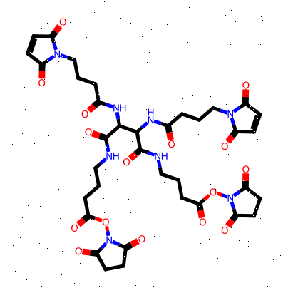 O=C(CCCN1C(=O)C=CC1=O)NC(C(=O)NCCCC(=O)ON1C(=O)CCC1=O)C(NC(=O)CCCN1C(=O)C=CC1=O)C(=O)NCCCC(=O)ON1C(=O)CCC1=O